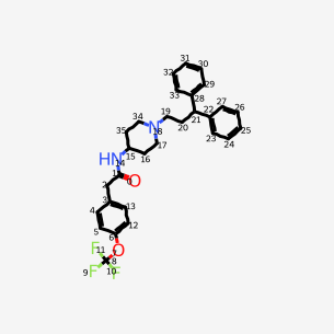 O=C(Cc1ccc(OC(F)(F)F)cc1)NC1CCN(CCC(c2ccccc2)c2ccccc2)CC1